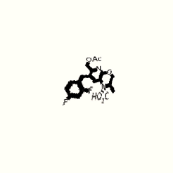 CC(=O)OCc1nc2c(cc1Cc1ccc(F)cc1F)N(C(=O)O)C(C)CO2